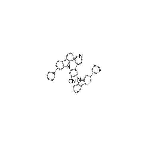 N#Cc1cc(-n2c3ccccc3c3ccc(-c4ccccc4)cc32)c(-c2ccncc2)cc1-n1c2ccccc2c2ccc(-c3ccccc3)cc21